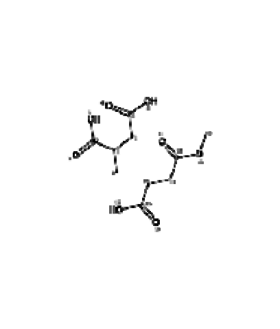 CC(CC(=O)O)C(=O)O.COC(=O)CCC(=O)O